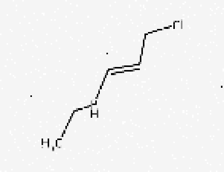 CCP/C=C/CCl